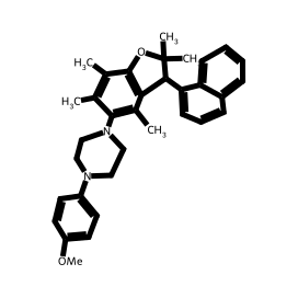 COc1ccc(N2CCN(c3c(C)c(C)c4c(c3C)C(c3cccc5ccccc35)C(C)(C)O4)CC2)cc1